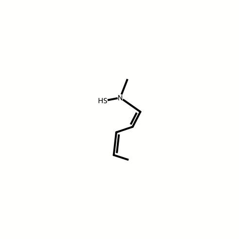 C/C=C\C=C/N(C)S